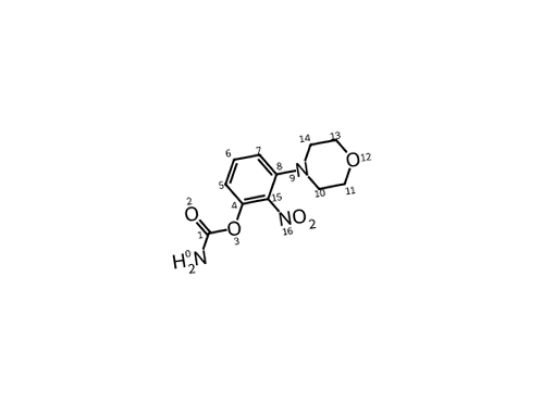 NC(=O)Oc1cccc(N2CCOCC2)c1[N+](=O)[O-]